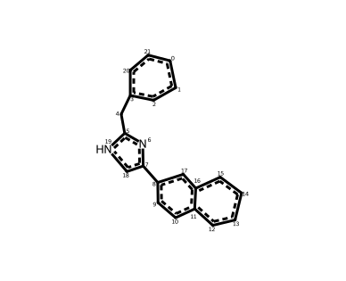 c1ccc(Cc2nc(-c3ccc4ccccc4c3)c[nH]2)cc1